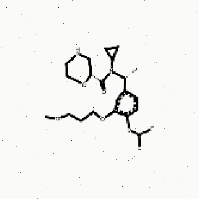 COCCCOc1cc([C@@H](C)N(C(=O)[C@H]2CNCCO2)C2CC2)ccc1OC(F)F